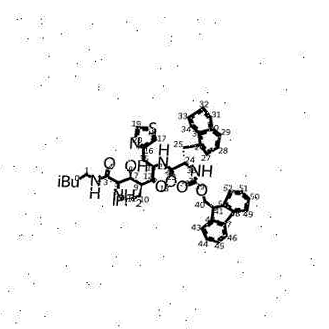 CCC(C)CNC(=O)C(N)[C@@H](O)[C@H](CC(C)C)C(=O)C(Cc1cscn1)NC(=O)[C@H](Cc1cccc2ccccc12)NC(=O)OCC1c2ccccc2-c2ccccc21